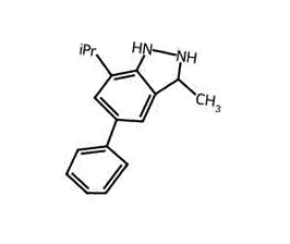 CC(C)c1cc(-c2ccccc2)cc2c1NNC2C